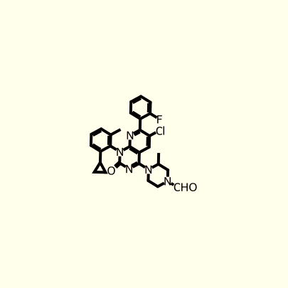 Cc1cccc(C2CC2)c1-n1c(=O)nc(N2CCN(C=O)CC2C)c2cc(Cl)c(-c3ccccc3F)nc21